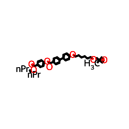 CCCC(CCC)OC(=O)c1ccc(OC(=O)c2ccc(-c3ccc(OCCCCCCOCC4(C)COC4)cc3)cc2)cc1